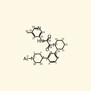 CC(=O)N1CCC(c2cccc([C@@H]3CCCCN3C(=O)C(=O)Nc3cncc(C)c3)c2)CC1